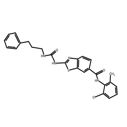 Cc1cccc(Cl)c1NC(=O)c1ccc2nc(NC(=O)NCCCc3ccccc3)sc2c1